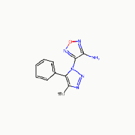 CC(C)(C)c1nnn(-c2nonc2N)c1-c1ccccc1